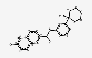 CC(Oc1cccc(C2(O)CCOCC2)c1)c1ccc2[nH]c(=O)ccc2c1